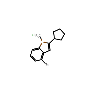 CCc1cccc2c1cc(C1CCCC1)[s+]2C(F)(F)F.[Cl-]